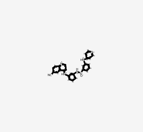 N#Cc1ccc2nccc(Nc3cccc(N[S+]([O-])c4cccc(Nc5ccncc5)c4)c3)c2c1